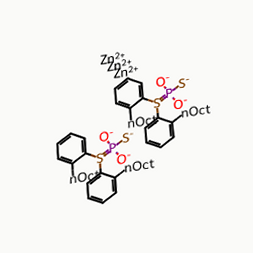 CCCCCCCCc1ccccc1S(c1ccccc1CCCCCCCC)=P([O-])([O-])[S-].CCCCCCCCc1ccccc1S(c1ccccc1CCCCCCCC)=P([O-])([O-])[S-].[Zn+2].[Zn+2].[Zn+2]